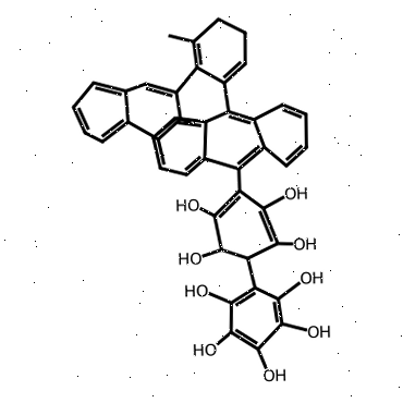 CC1=C(c2cc3ccccc3cc2C)C(c2c3ccccc3c(C3=C(O)C(O)C(c4c(O)c(O)c(O)c(O)c4O)C(O)=C3O)c3ccccc23)=CCC1